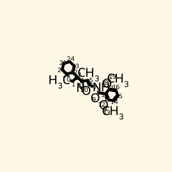 CCC(C)(c1cc(NC(=O)c2c(OC)cccc2OC)on1)C1CCCCC1